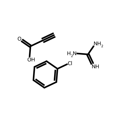 C#CC(=O)O.Clc1ccccc1.N=C(N)N